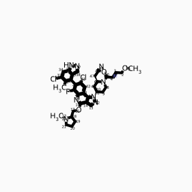 COC/C=C/C(=O)N1CC[C@H](n2ncc3c(OCC4CCCN4C)nc4c(F)c(-c5c(C)c(Cl)cc6[nH]ncc56)c(Cl)cc4c32)C[C@H]1CC#N